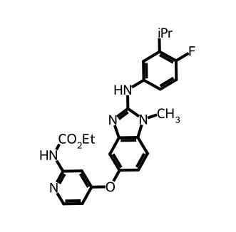 CCOC(=O)Nc1cc(Oc2ccc3c(c2)nc(Nc2ccc(F)c(C(C)C)c2)n3C)ccn1